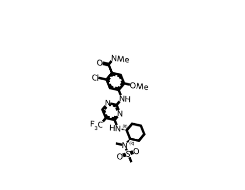 CNC(=O)c1cc(OC)c(Nc2ncc(C(F)(F)F)c(N[C@@H]3CCCC[C@H]3N(C)S(C)(=O)=O)n2)cc1Cl